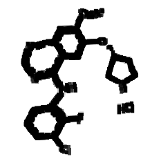 COc1cc2ncnc(Nc3cccc(Cl)c3F)c2cc1O[C@@H]1CCNC1.Cl